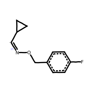 Fc1ccc(CO/N=[C]\C2CC2)cc1